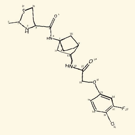 CC1NC(C(=O)NC23CC(C2)C(NC(=O)COc2ccc(Cl)c(F)c2)C3)CS1